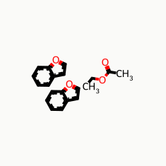 CCOC(C)=O.c1ccc2occc2c1.c1ccc2occc2c1